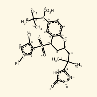 CCn1cc(S(=O)(=O)N2C[C@H](CC(C)(C)c3noc(=O)[nH]3)Oc3ccc(N(C(=O)O)C(C)(C)C(F)(F)F)cc32)c(Cl)n1